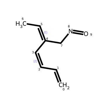 C=C/C=C\C(=C/C)CN=O